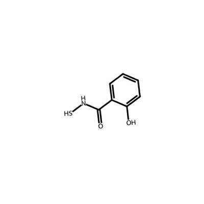 O=C(NS)c1ccccc1O